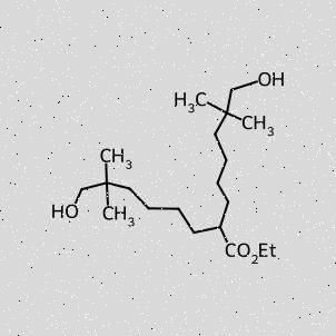 CCOC(=O)C(CCCCC(C)(C)CO)CCCCC(C)(C)CO